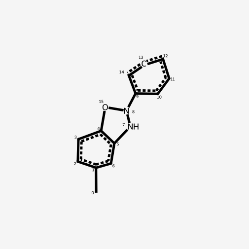 Cc1ccc2c(c1)NN(c1ccccc1)O2